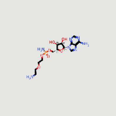 NCCOCCOP(N)(=O)OC[C@H]1O[C@@H](n2cnc3c(N)ncnc32)[C@H](O)[C@@H]1O